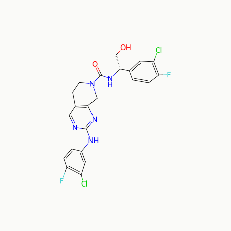 O=C(N[C@H](CO)c1ccc(F)c(Cl)c1)N1CCc2cnc(Nc3ccc(F)c(Cl)c3)nc2C1